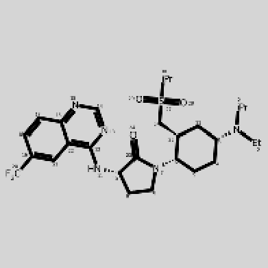 CCN(C(C)C)[C@@H]1CC[C@H](N2CC[C@H](Nc3ncnc4ccc(C(F)(F)F)cc34)C2=O)[C@@H](CS(=O)(=O)C(C)C)C1